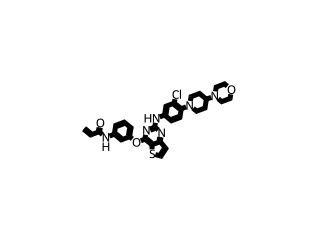 C=CC(=O)Nc1cccc(Oc2nc(Nc3ccc(N4CCC(N5CCOCC5)CC4)c(Cl)c3)nc3ccsc23)c1